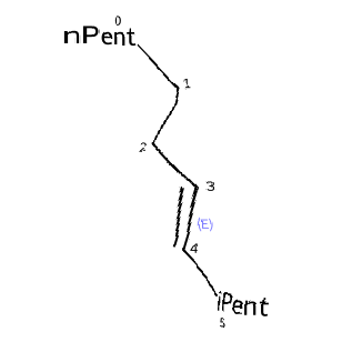 [CH2]CCCCCC/C=C/C(C)CC[CH2]